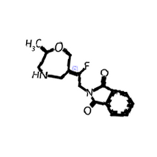 CC1CNC/C(=C(/F)CN2C(=O)c3ccccc3C2=O)CO1